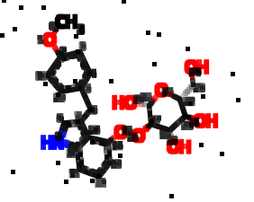 COc1ccc(Cc2c[nH]c3cccc(OO[C@@H]4[C@@H](O)[C@H](O)[C@@H](CO)O[C@H]4O)c23)cc1